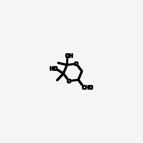 CC1(O)OCC(C=O)OC1(C)O